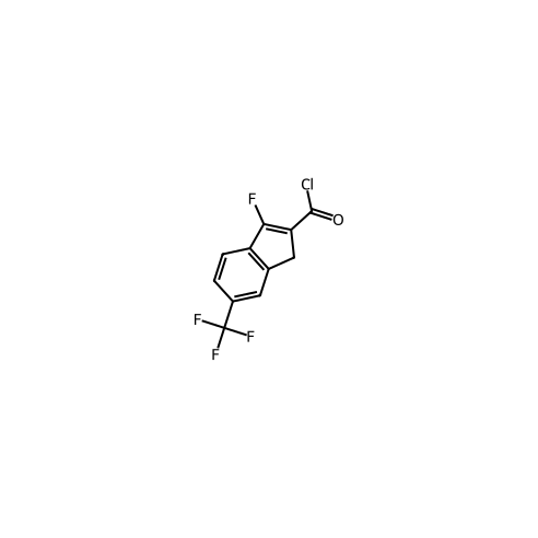 O=C(Cl)C1=C(F)c2ccc(C(F)(F)F)cc2C1